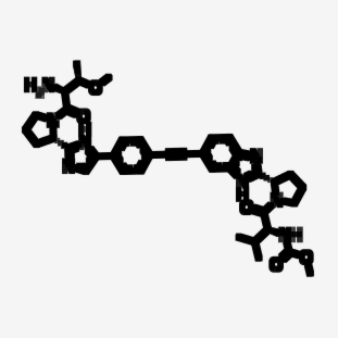 COC(=O)N[C@H](C(=O)N1CCC[C@H]1c1nc2ccc(C#Cc3ccc(-c4cnc([C@@H]5CCCN5C(=O)[C@@H](N)[C@@H](C)OC)[nH]4)cc3)cc2[nH]1)C(C)C